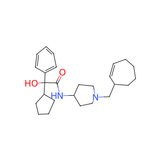 O=C(NC1CCN(CC2C=CCCCC2)CC1)C(O)(c1ccccc1)C1CCCC1